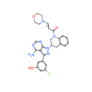 Nc1ncnc2c1c(-c1cc(O)cc(F)c1)nn2C1Cc2ccccc2N(C(=O)/C=C/N2CCOCC2)C1